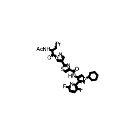 CC(=O)NC(CC(C)C)C(=O)n1cc(-c2nc(C(=O)Nc3cn(C4CCCCC4)nc3-c3nc(F)ccc3F)cs2)cn1